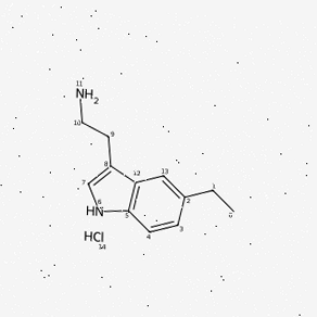 CCc1ccc2[nH]cc(CCN)c2c1.Cl